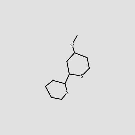 CO[C]1CCSC(C2CCCCS2)C1